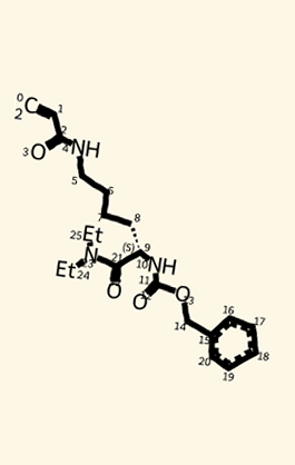 C=CC(=O)NCCCC[C@H](NC(=O)OCc1ccccc1)C(=O)N(CC)CC